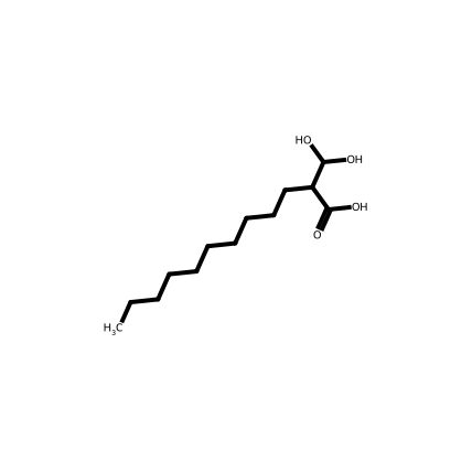 CCCCCCCCCCC(C(=O)O)C(O)O